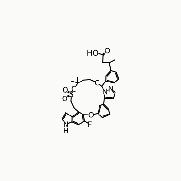 CC(CC(=O)O)c1cccc(C2CCCC(C)(C)CS(=O)(=O)CCc3c(c(F)cc4[nH]ccc34)Oc3cccc(c3)-c3ccnn32)c1